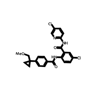 COCC1(c2ccc(C(=O)Nc3ccc(Cl)cc3C(=O)Nc3ccc(Cl)cn3)cc2)CC1